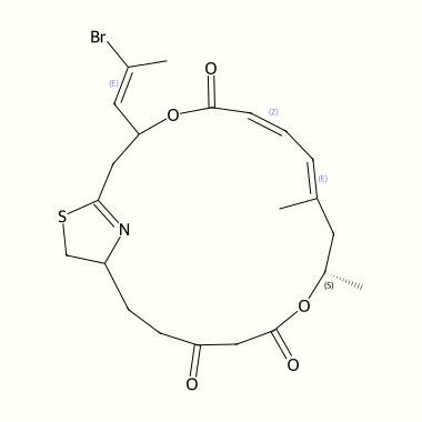 C/C(Br)=C\C1CC2=NC(CCC(=O)CC(=O)O[C@@H](C)C/C(C)=C/C=C\C(=O)O1)CS2